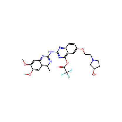 COc1cc2nc(Nc3nc(OC(=O)C(F)(F)F)c4cc(OCCN5CCC(O)C5)ccc4n3)nc(C)c2cc1OC